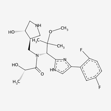 COC(C)(C)[C@H](c1nc(-c2cc(F)ccc2F)c[nH]1)N(C[C@@H]1CNC[C@H]1O)C(=O)[C@H](C)O